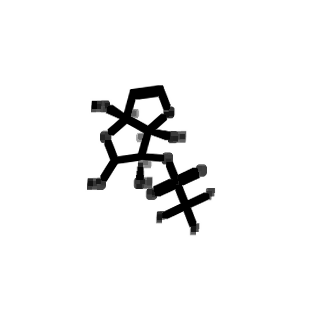 O=S(=O)(O[C@@]1(O)C(O)O[C@]2(O)C=CO[C@@]21O)C(F)(F)F